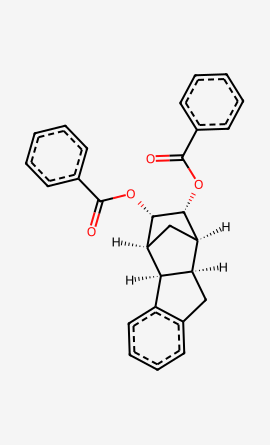 O=C(O[C@@H]1[C@@H]2C[C@H]([C@@H]1OC(=O)c1ccccc1)[C@@H]1c3ccccc3C[C@H]21)c1ccccc1